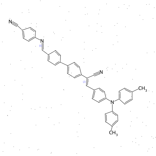 Cc1ccc(N(c2ccc(C)cc2)c2ccc(/C=C(\C#N)c3ccc(-c4ccc(/C=N/c5ccc(C#N)cc5)cc4)cc3)cc2)cc1